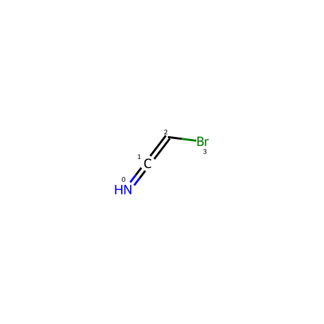 N=C=CBr